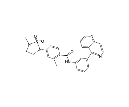 Cc1cc(N2CCN(C)S2(=O)=O)ccc1C(=O)Nc1cccc(-c2nccc3ncccc23)c1